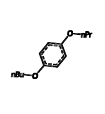 [CH2]CCCOc1ccc(OCCC)cc1